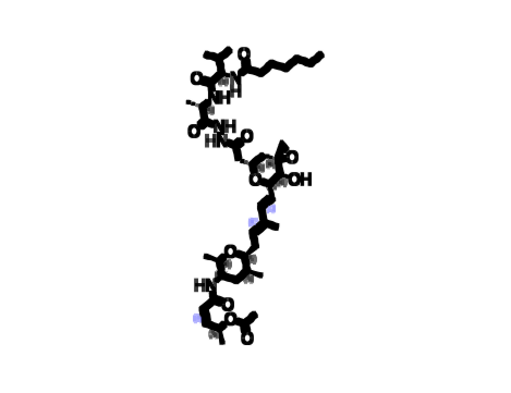 CCCCCCC(=O)N[C@H](C(=O)N[C@@H](C)C(=O)NNC(=O)C[C@@H]1C[C@@]2(CO2)[C@H](O)[C@@H](/C=C/C(C)=C/C[C@@H]2O[C@H](C)[C@H](NC(=O)/C=C\[C@H](C)OC(C)=O)C[C@@H]2C)O1)C(C)C